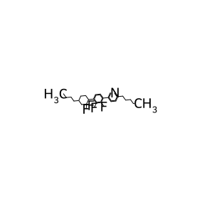 CCCCCc1ccc(-c2ccc(C3CCC(CCCC)CC3(F)F)c(F)c2F)cn1